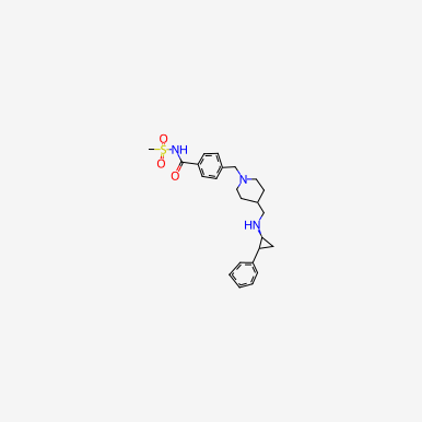 CS(=O)(=O)NC(=O)c1ccc(CN2CCC(CN[C@H]3CC3c3ccccc3)CC2)cc1